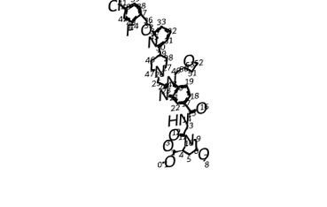 COC(=O)[C@@H]1C[C@H](OC)CN1C(=O)CNC(=O)c1ccc2c(c1)nc(CN1CCC(c3cccc(OCc4ccc(Cl)cc4F)n3)CC1)n2C[C@@H]1CCO1